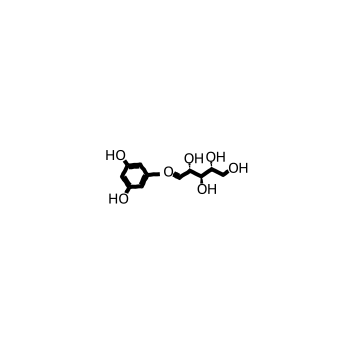 Cc1cc(O)cc(O)c1.O=C[C@H](O)[C@H](O)[C@H](O)CO